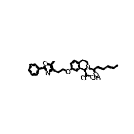 CC=CC=CC(=O)N1CCc2ccc(OCCc3nc(-c4ccccc4)oc3C)cc2C1C(=O)O